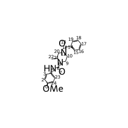 COc1ccc(NC(=O)N2CCN(C(=O)c3ccccc3)CC2C)cc1